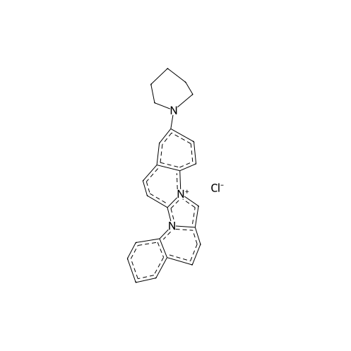 [Cl-].c1ccc2c(c1)ccc1c[n+]3c4ccc(N5CCCCC5)cc4ccc3n12